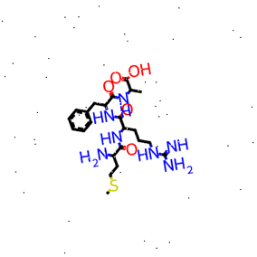 CSCCC(N)C(=O)NC(CCCNC(=N)N)C(=O)NC(Cc1ccccc1)C(=O)NC(C)C(=O)O